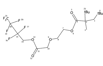 CC(C)(C)CC(C)(C(=O)OCCOCC(=O)OCC(F)(F)C(F)(F)C(F)(F)F)C(C)(C)C